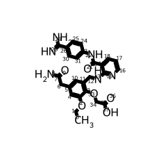 CCOc1cc(CC(N)=O)cc(CNc2ncccc2C(=O)Nc2ccc(C(=N)N)cc2)c1OCC(=O)O